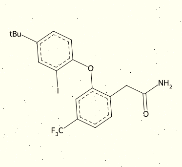 CC(C)(C)c1ccc(Oc2cc(C(F)(F)F)ccc2CC(N)=O)c(I)c1